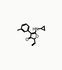 C=CC1OC(NC2CC2)=C(c2cccc(C)c2)C1=O